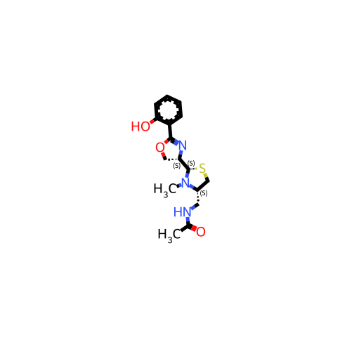 CC(=O)NC[C@H]1CS[C@@H]([C@@H]2COC(c3ccccc3O)=N2)N1C